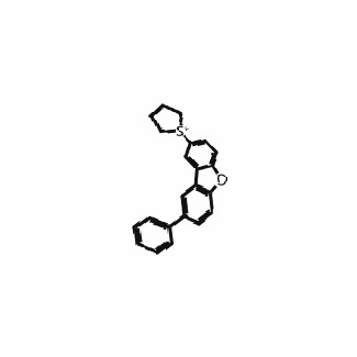 c1ccc(-c2ccc3oc4ccc([S+]5CCCC5)cc4c3c2)cc1